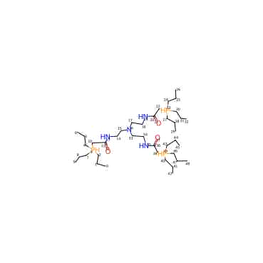 CCC[PH](CCC)(CCC)CC(=O)NCCN(CCNC(=O)C[PH](CCC)(CCC)CCC)CCNC(=O)C[PH](CCC)(CCC)CCC